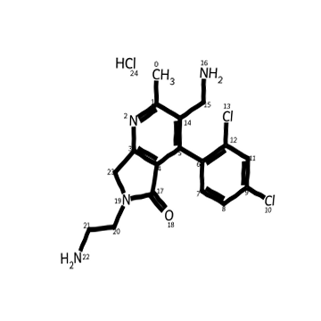 Cc1nc2c(c(-c3ccc(Cl)cc3Cl)c1CN)C(=O)N(CCN)C2.Cl